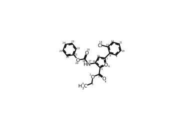 CCOC(=O)c1oc(-c2ccccc2Cl)cc1NC(=O)Oc1ccccc1